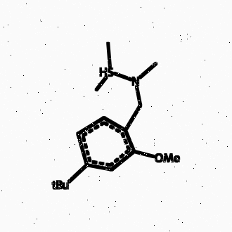 COc1cc(C(C)(C)C)ccc1CN(C)[SH](C)C